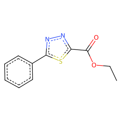 CCOC(=O)c1nnc(-c2ccccc2)s1